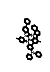 Cc1ccc(N2B3c4sc5ccc(-c6ccccc6)cc5c4-n4c5c3c(cc(C)c5c3ccc5ccccc5c34)-c3cc(N(c4ccccc4)c4ccccc4)ccc32)cc1